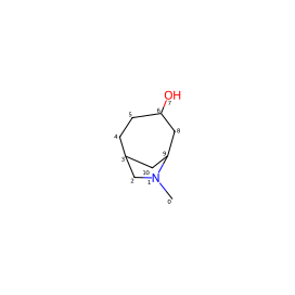 CN1CC2CCC(O)CC1C2